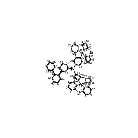 c1ccc2c(c1)Oc1ccccc1C21c2ccccc2-c2cc(N(c3ccc4c(c3)-c3ccccc3C43c4ccccc4Sc4ccccc43)c3ccc4c5ccccc5c5ccccc5c4c3)ccc21